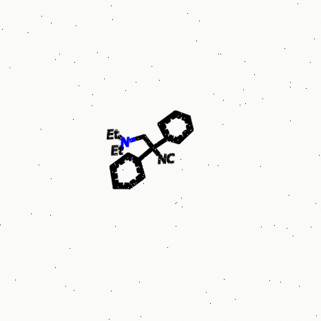 [C-]#[N+]C(CN(CC)CC)(c1ccccc1)c1ccccc1